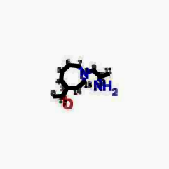 CC(=O)C1CCCCN(CC(C)N)CC1